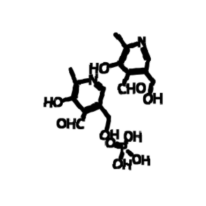 Cc1ncc(CO)c(C=O)c1O.Cc1ncc(CO)c(C=O)c1O.O=P(O)(O)O